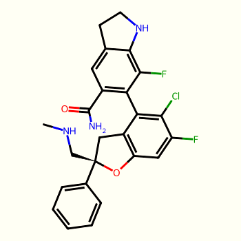 CNC[C@@]1(c2ccccc2)Cc2c(cc(F)c(Cl)c2-c2c(C(N)=O)cc3c(c2F)NCC3)O1